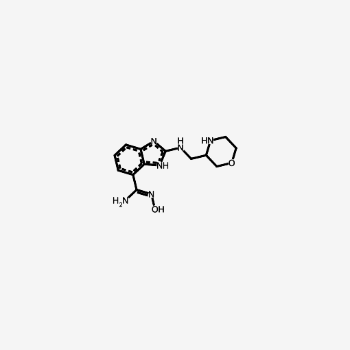 NC(=NO)c1cccc2nc(NCC3COCCN3)[nH]c12